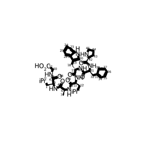 CC(C)C[C@H](NC(=O)[C@H](C)NC(=O)[C@H](CC(C)C)NC(=O)[C@H](Cc1c[nH]c2ccccc12)NC(=O)[C@H](Cc1ccccc1)NC(=O)[C@@H]1CCCN1)C(=O)NCC(=O)O